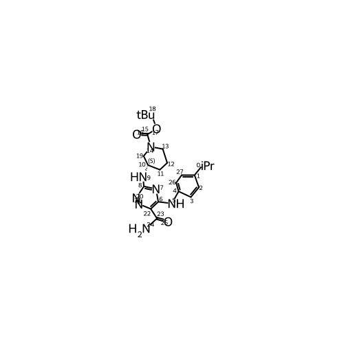 CC(C)c1ccc(Nc2nc(N[C@H]3CCCN(C(=O)OC(C)(C)C)C3)nnc2C(N)=O)cc1